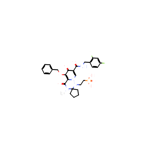 CCN1C(=O)c2c(OCc3ccccc3)c(=O)c(C(=O)NCc3ccc(F)cc3F)cn2N(CCP(=O)(O)O)C12CCCC2